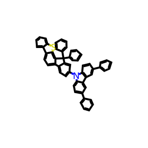 c1ccc(-c2ccc3c(c2)c2cc(-c4ccccc4)ccc2n3-c2ccc3c(c2)C(c2ccccc2)(c2ccccc2)c2c-3ccc3c2sc2ccccc23)cc1